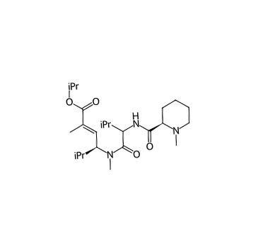 C/C(=C\[C@H](C(C)C)N(C)C(=O)C(NC(=O)[C@H]1CCCCN1C)C(C)C)C(=O)OC(C)C